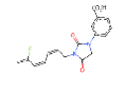 C=C(F)/C=C\C=C/CN1C(=O)CN(c2cccc(C(=O)O)c2)C1=O